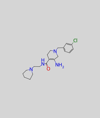 NC1=C(C(=O)NCCN2CCCCC2)CCN(Cc2cccc(Cl)c2)C1